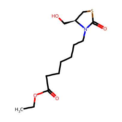 CCOC(=O)CCCCCCN1C(=O)SC[C@@H]1CO